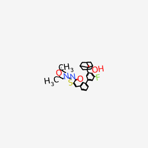 C[C@@H]1CN(C2=NC(=O)C(=Cc3cccc(-c4cc(F)c(O)c(C56CC7CC(CC(C7)C5)C6)c4)c3)S2)C[C@H](C)O1